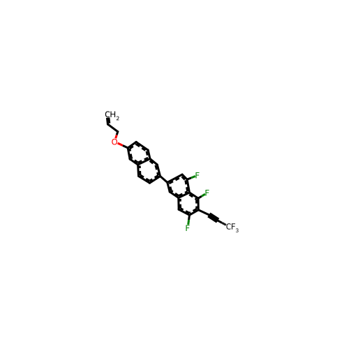 C=CCOc1ccc2cc(-c3cc(F)c4c(F)c(C#CC(F)(F)F)c(F)cc4c3)ccc2c1